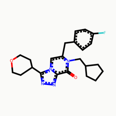 O=c1c2nnc(C3CCOCC3)n2cc(Cc2ccc(F)cc2)n1CC1CCCC1